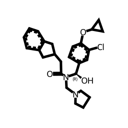 O=C(CC1Cc2ccccc2C1)N(CN1CCCC1)[C@H](O)c1ccc(OC2CC2)c(Cl)c1